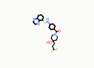 O=C(c1ccc(NSc2cccc3nccnc23)cc1)N1CCC(O)(CCC(F)F)CC1